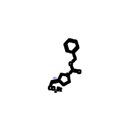 CCOC(=O)/C=C1\CCN(C(=O)OCc2ccccc2)C1